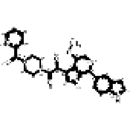 COc1cnc(-c2ccc3[nH]ccc3c2)c2[nH]cc(C(=O)C(=O)N3CCN(C(=O)c4ccccn4)CC3)c12